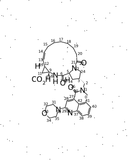 CN(C[C@@H]1C[C@H]2C(=O)N[C@]3(C(=O)O)C[C@H]3/C=C\CCCCCCC(=O)N2C1)C(=O)c1cc(N2CCOCC2)nc2ccccc12